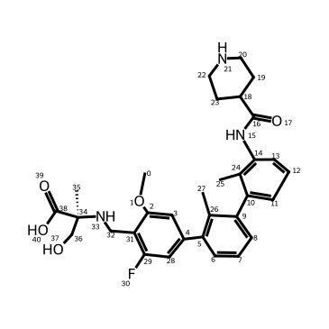 COc1cc(-c2cccc(-c3cccc(NC(=O)C4CCNCC4)c3C)c2C)cc(F)c1CN[C@@](C)(CO)C(=O)O